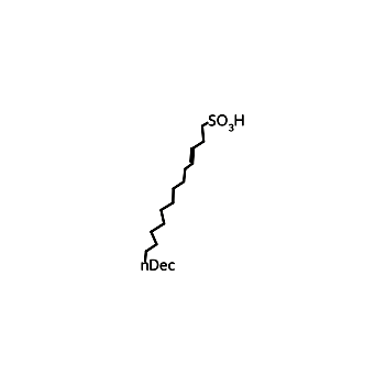 CCCCCCCCCCCCCCCCCCCC=CCCS(=O)(=O)O